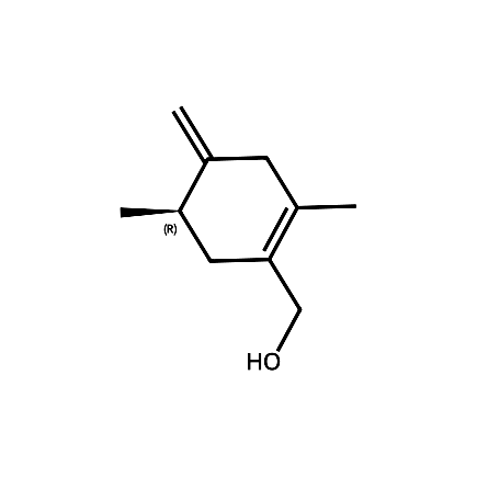 C=C1CC(C)=C(CO)C[C@H]1C